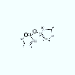 C1=COC(OC2=CCCC=C2)C=C1